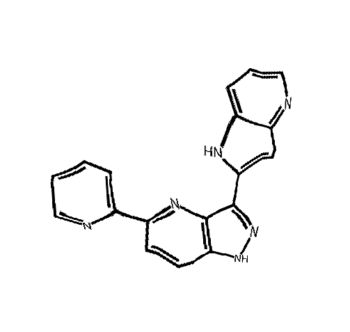 c1ccc(-c2ccc3[nH]nc(-c4cc5ncccc5[nH]4)c3n2)nc1